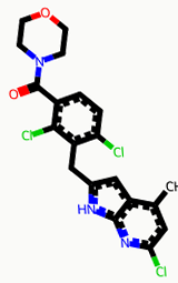 Cc1cc(Cl)nc2[nH]c(Cc3c(Cl)ccc(C(=O)N4CCOCC4)c3Cl)cc12